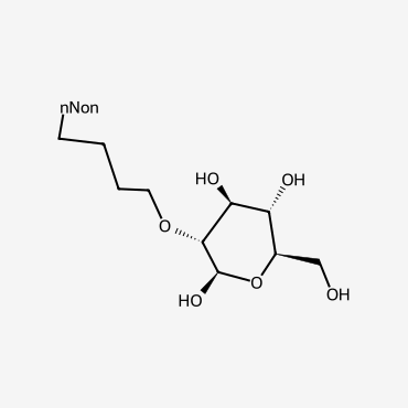 CCCCCCCCCCCCCO[C@@H]1[C@@H](O)[C@H](O)[C@@H](CO)O[C@H]1O